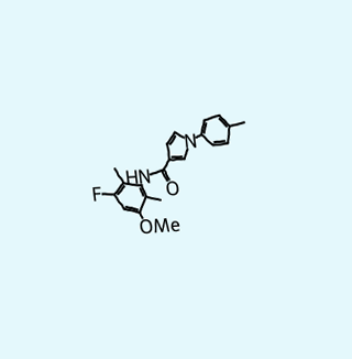 COc1cc(F)c(C)c(NC(=O)c2ccn(-c3ccc(C)cc3)c2)c1C